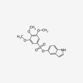 COc1cc(S(=O)(=O)Oc2ccc3[nH]ccc3c2)cc(OC)c1OC